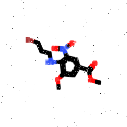 COC(=O)c1cc(OC)c(NCCCBr)c([N+](=O)[O-])c1